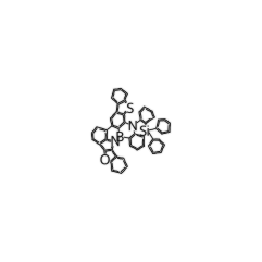 c1ccc([Si]2(c3ccccc3)c3ccccc3N3c4c(cccc42)B2c4c(cc5c(sc6ccccc65)c43)-c3cccc4c5oc6ccccc6c5n2c34)cc1